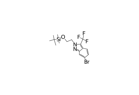 CC(C)(C)[Si](C)(C)OCCn1nc2cc(Br)ccc2c1C(F)(F)F